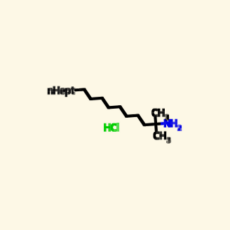 CCCCCCCCCCCCCCCC(C)(C)N.Cl